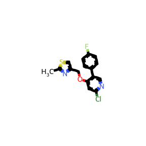 Cc1nc(COc2cc(Cl)ncc2-c2ccc(F)cc2)cs1